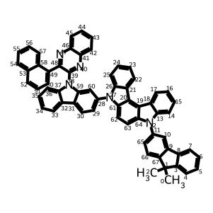 CC1(C)c2ccccc2-c2cc(-n3c4ccccc4c4c5c6ccccc6n(-c6ccc7c8ccccc8n(-c8nc9ccccc9nc8-c8cccc9ccccc89)c7c6)c5ccc43)ccc21